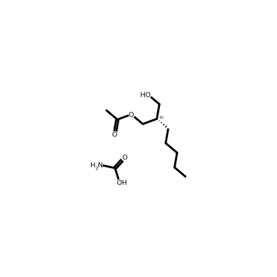 CCCCC[C@@H](CO)COC(C)=O.NC(=O)O